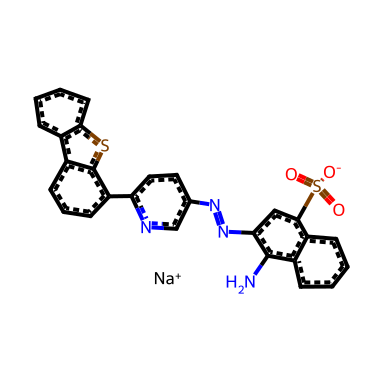 Nc1c(N=Nc2ccc(-c3cccc4c3sc3ccccc34)nc2)cc(S(=O)(=O)[O-])c2ccccc12.[Na+]